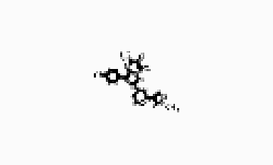 Cc1nc2c(-c3ccc(Cl)cc3)nc(C3CCOC(c4cnn(C)c4)C3)cn2c(=O)c1Cl